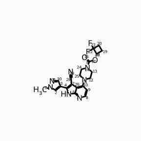 Cn1cc(-c2[nH]c3nccc(N4CCN(C(=O)O[C@H]5CCC5(F)F)CC4)c3c2C#N)cn1